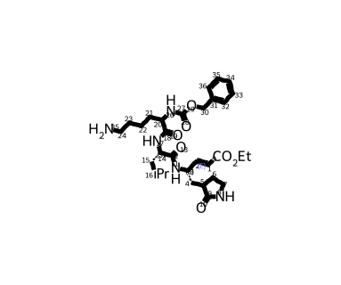 CCOC(=O)/C=C/[C@H](CC1CCNC1=O)NC(=O)[C@H](CC(C)C)NC(=O)C(CCCCN)NC(=O)OCc1ccccc1